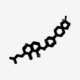 C[C@H]1CC2(CCN(c3cnc(Sc4ccc5ncn(CCN(C)C)c(=O)c5c4Cl)cn3)CC2)CO1